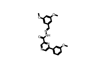 COc1cc(C=NNC(=O)c2cncc(-c3cccc(OC)c3)n2)cc(OC)c1